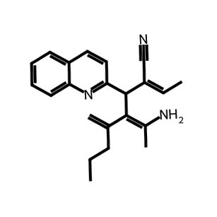 C=C(CCC)/C(=C(\C)N)C(/C(C#N)=C/C)c1ccc2ccccc2n1